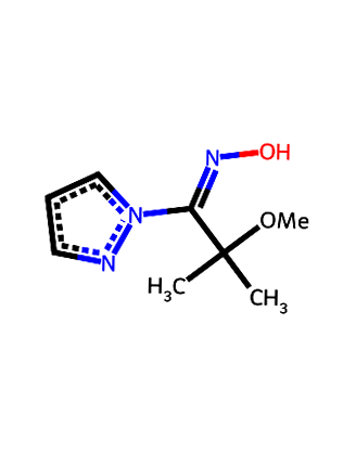 COC(C)(C)C(=NO)n1cccn1